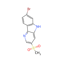 CS(=O)(=O)c1cnc2c(c1)[nH]c1cc(Br)ccc12